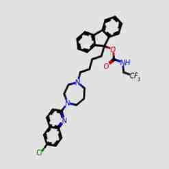 O=C(NCC(F)(F)F)OC1(CCCCN2CCCN(c3ccc4cc(Cl)ccc4n3)CC2)c2ccccc2-c2ccccc21